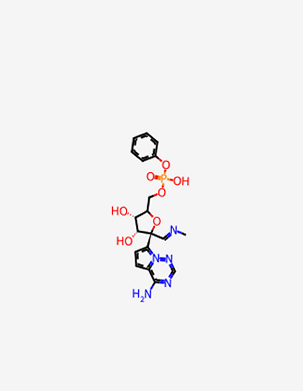 CN=C[C@@]1(c2ccc3c(N)ncnn23)OC(COP(=O)(O)Oc2ccccc2)[C@@H](O)[C@H]1O